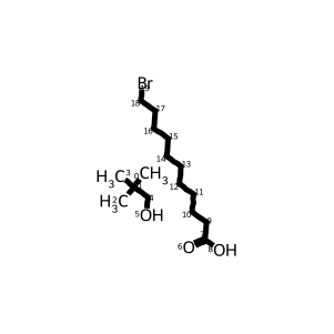 CC(C)(C)CO.O=C(O)CCCCCCCCCCBr